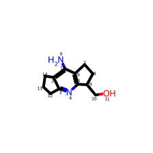 Nc1c2c(nc3c1CCC3CO)CCC2